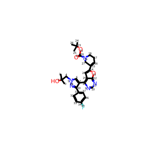 CC(C)(O)Cn1cc(-c2ncnc3oc(C4=CCCN(C(=O)OC(C)(C)C)C4)cc23)c(-c2ccc(F)cc2)n1